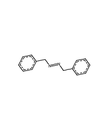 c1ccc(CN=NCc2ccccc2)cc1